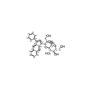 OCC(O)C(O[C@@H]1[C@@H](O)[C@H](O)[C@@H](CO)O[C@H]1O)c1nn(-c2ccccc2)c2nc3ccccc3nc12